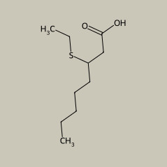 CCCCCC(CC(=O)O)SCC